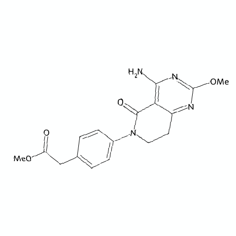 COC(=O)Cc1ccc(N2CCc3nc(OC)nc(N)c3C2=O)cc1